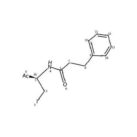 CC(=O)[C@H](CI)NC(=O)CCc1ccccc1